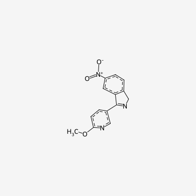 COc1ccc(C2=NCc3ccc([N+](=O)[O-])cc32)cn1